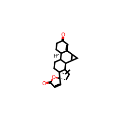 CC[C@]12CCC3C(C4CC4C4=CC(=O)CC[C@@H]43)C1CC[C@@]21C=CC(=O)O1